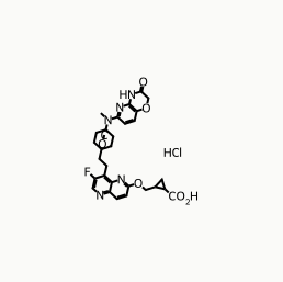 CN(c1ccc2c(n1)NC(=O)CO2)C12CCC(CCc3c(F)cnc4ccc(OCC5CC5C(=O)O)nc34)(CC1)OC2.Cl